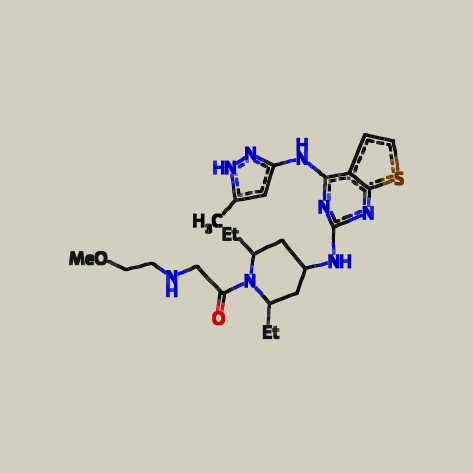 CCC1CC(Nc2nc(Nc3cc(C)[nH]n3)c3ccsc3n2)CC(CC)N1C(=O)CNCCOC